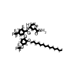 CCCCCCCCCCCCCCOc1cc(OC(F)(F)F)ccc1Oc1cc(C(F)(F)F)cc(F)c1C(=O)Nc1ccnc(C(N)=O)c1